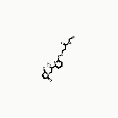 CC(C)CNC(=O)CCSSc1cccc(C(C)CN2C(=O)C=CC2=O)n1